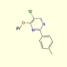 Cc1ccc(-c2ncc(Br)c(OC(C)C)n2)cc1